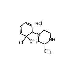 C[C@@H]1CN(C2C=CC=CC2(C)Cl)CCN1.Cl